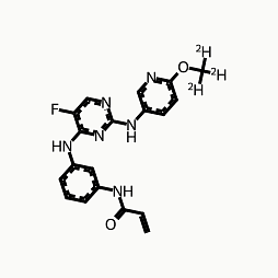 [2H]C([2H])([2H])Oc1ccc(Nc2ncc(F)c(Nc3cccc(NC(=O)C=C)c3)n2)cn1